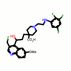 COc1ccc2ncc(CF)c(C(O)CCC3(C(=O)O)CCN(CCNc4cc(F)cc(F)c4F)CC3)c2c1